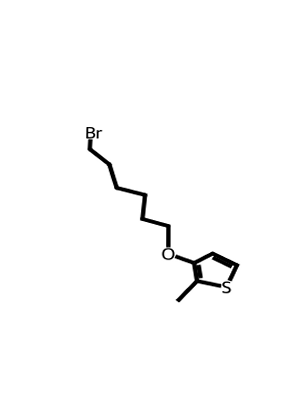 Cc1sccc1OCCCCCCBr